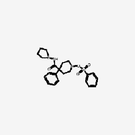 O=C(NN1CCCC1)C1(c2ccccc2)CCN(OS(=O)(=O)c2ccccc2)CC1